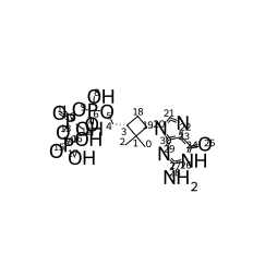 CC1(C)[C@H](COP(=O)(O)OP(=O)(O)OP(=O)(O)O)C[C@@H]1n1cnc2c(=O)[nH]c(N)nc21